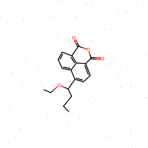 CCCC(OCC)c1ccc2c3c(cccc13)C(=O)OC2=O